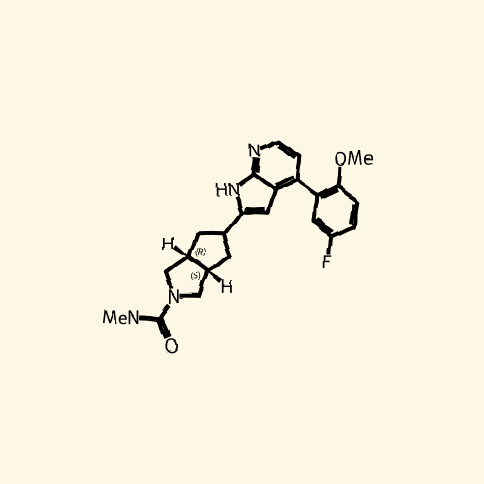 CNC(=O)N1C[C@H]2CC(c3cc4c(-c5cc(F)ccc5OC)ccnc4[nH]3)C[C@H]2C1